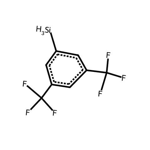 FC(F)(F)c1cc([SiH3])cc(C(F)(F)F)c1